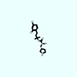 CC(C)N(C[C@@H]1CCNC1)C(=O)OC(C)(C)CCc1ccc(Cl)cc1Cl